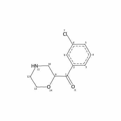 O=C(c1cccc(Cl)c1)C1CNCCO1